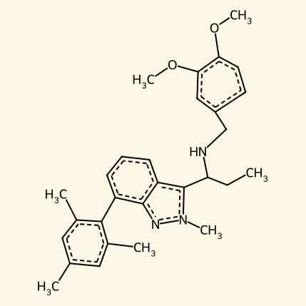 CCC(NCc1ccc(OC)c(OC)c1)c1c2cccc(-c3c(C)cc(C)cc3C)c2nn1C